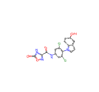 O=C(Nc1cc(Cl)c(-n2ccc3cc(O)ccc32)c(Cl)c1)c1noc(=O)[nH]1